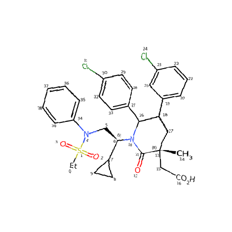 CCS(=O)(=O)N(C[C@H](C1CC1)N1C(=O)[C@@](C)(CC(=O)O)CC(c2cccc(Cl)c2)C1c1ccc(Cl)cc1)c1ccccc1